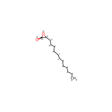 CCCCCCCCCCCCC1OC1=O